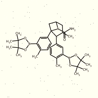 Cc1ccc(C2C(C)CC3CC2(c2ccc(C)c(B4OC(C)(C)C(C)(C)O4)c2)N3C(N)=O)cc1B1OC(C)(C)C(C)(C)O1